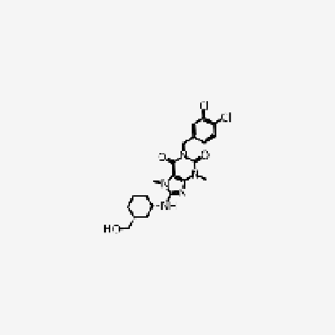 Cn1c(N[C@H]2CCC[C@H](CO)C2)nc2c1c(=O)n(Cc1ccc(Cl)c(Cl)c1)c(=O)n2C